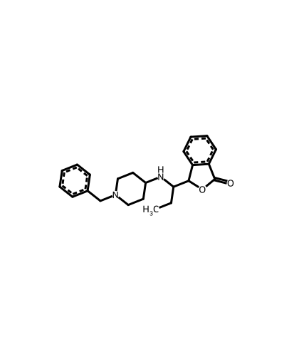 CCC(NC1CCN(Cc2ccccc2)CC1)C1OC(=O)c2ccccc21